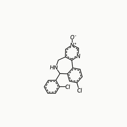 [O-][n+]1cnc2c(c1)CNC(c1ccccc1Cl)c1cc(Cl)ccc1-2